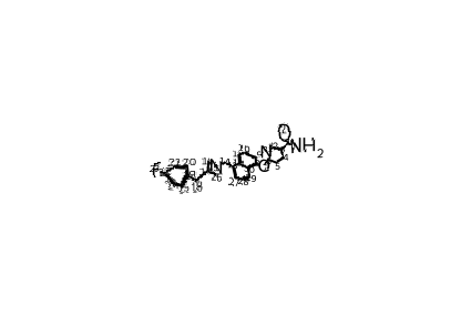 NC(=O)c1ccc(Oc2cccc3c(CN4CC(Cc5ccc(F)cc5)C4)cccc23)nc1